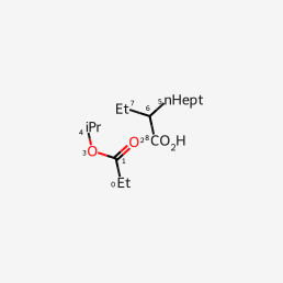 CCC(=O)OC(C)C.CCCCCCCC(CC)C(=O)O